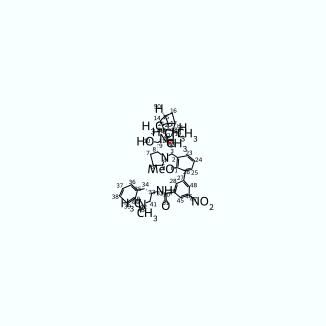 COc1c(CN2CCC[C@@H]2C(O)N(C)[C@H]2C[C@H]3C[C@@H]([C@@H]2C)C3(C)C)cccc1-c1cc(C(=O)N[C@@H](Cc2ccccc2)CN(C)C)cc([N+](=O)[O-])c1